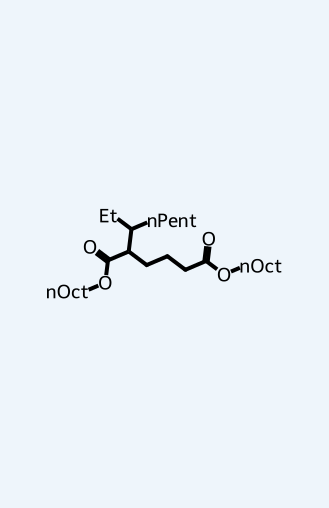 CCCCCCCCOC(=O)CCCC(C(=O)OCCCCCCCC)C(CC)CCCCC